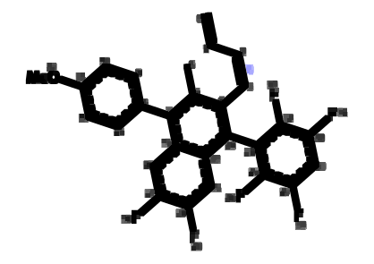 C=C/C=C\c1c(C)c(-c2ccc(OC)cc2)c2cc(F)c(F)cc2c1-c1c(F)c(F)cc(F)c1F